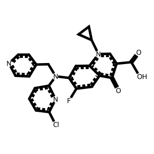 O=C(O)c1cn(C2CC2)c2cc(N(Cc3ccncc3)c3cccc(Cl)n3)c(F)cc2c1=O